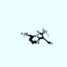 N#Cc1c(N)nn2c(N)ccnc12